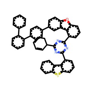 C1=CCC(c2nc(-c3cccc4oc5ccc(-c6ccc(-c7ccccc7-c7ccccc7)cc6)cc5c34)nc(-c3cccc4sc5ccccc5c34)n2)C=C1